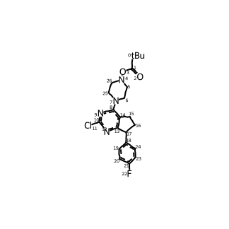 CC(C)(C)C(=O)ON1CCN(c2nc(Cl)nc3c2CCC3c2ccc(F)cc2)CC1